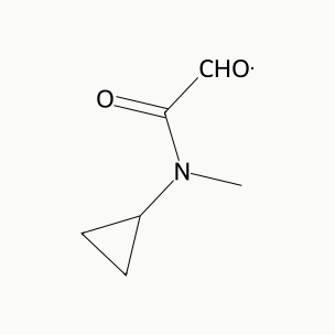 CN(C(=O)[C]=O)C1CC1